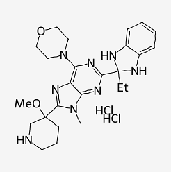 CCC1(c2nc(N3CCOCC3)c3nc(C4(OC)CCCNC4)n(C)c3n2)Nc2ccccc2N1.Cl.Cl